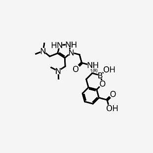 CN(C)CC1=C(CN(C)C)N(CC(=O)N[C@H]2Cc3cccc(C(=O)O)c3OB2O)NN1